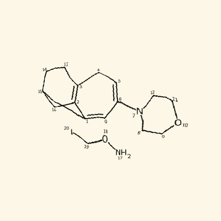 C1=C2C3=C(CC=C1N1CCOCC1)CCC2C3.NOCI